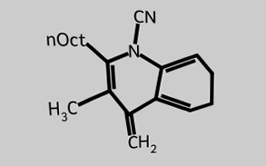 C=C1C2=CCCC=C2N(C#N)C(CCCCCCCC)=C1C